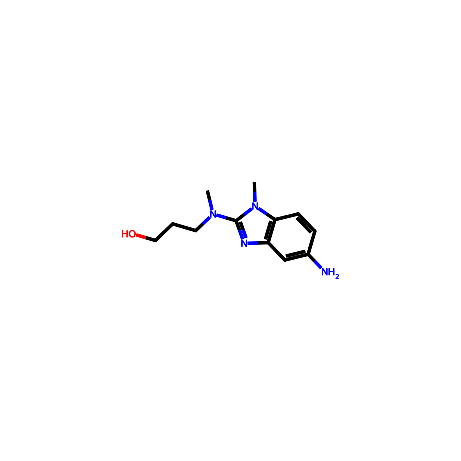 CN(CCCO)c1nc2cc(N)ccc2n1C